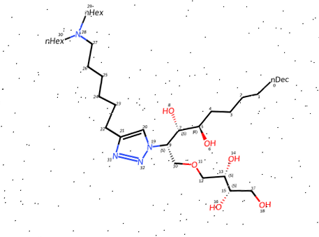 CCCCCCCCCCCCCC[C@@H](O)[C@@H](O)[C@H](COC[C@H](O)[C@@H](O)CO)n1cc(CCCCCCN(CCCCCC)CCCCCC)nn1